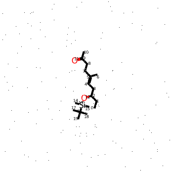 CCC(C/C=C(\C)CCC(C)=O)O[Si](C)(C)C(C)(C)C